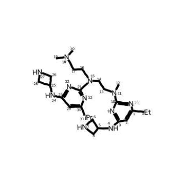 CCc1cc(NC2CNC2)nc(N(C)CCN(CCN(C)C)c2nc(NC3CNC3)cc(C(C)C)n2)n1